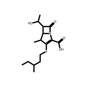 CCC(C)CCSC1=C(C(=O)O)N2C(=O)C(C(C)O)C2C1C